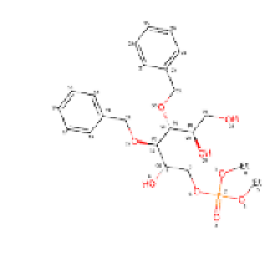 CCOP(=O)(OCC)OC[C@H](O)[C@@H](OCc1ccccc1)[C@H](OCc1ccccc1)[C@H](O)CO